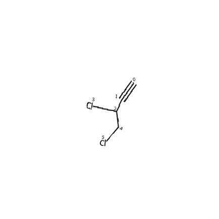 C#CC(Cl)CCl